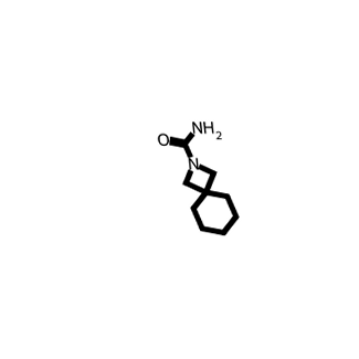 NC(=O)N1CC2(CCCCC2)C1